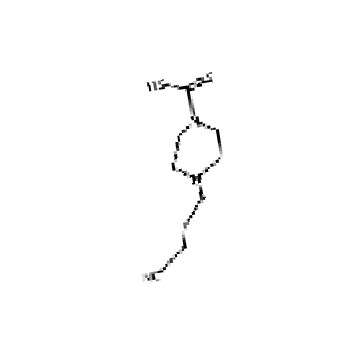 N#CCCCN1CCN(C(=S)S)CC1